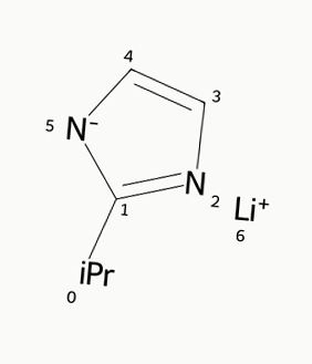 CC(C)c1ncc[n-]1.[Li+]